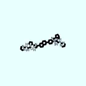 CC(C)[C@H](Nc1ncccn1)C(=O)N1CCC[C@H]1c1nc(-c2ccc3cc(-c4ccc5[nH]c(C67CCC(CN6C(=O)[C@@H](Nc6ncccn6)C(C)C)C7)nc5c4)ccc3c2)c[nH]1